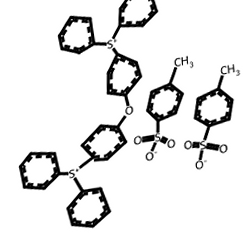 Cc1ccc(S(=O)(=O)[O-])cc1.Cc1ccc(S(=O)(=O)[O-])cc1.c1ccc([S+](c2ccccc2)c2ccc(Oc3ccc([S+](c4ccccc4)c4ccccc4)cc3)cc2)cc1